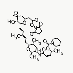 CC(/C=C/[C@H]1O[C@H](CC(=O)ON2C(=O)CCC2=O)C[C@@]2(CO2)[C@@H]1O)=C\C[C@@H]1O[C@H](C)[C@H](NC(=O)/C=C\[C@H](C)OC(=O)N2CCCCC2)C[C@@H]1C